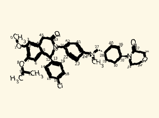 COc1cc2c(cc1OC(C)C)[C@H](c1ccc(Cl)cc1)N(c1ccc(N(C)C[C@H]3CC[C@H](N4CCOCC4=O)CC3)cc1)C(=O)C2